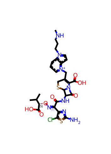 CNCCCn1ccc2c1ccc[n+]2CC1=C(C(=O)O)N2C(=O)C(NC(=O)/C(=N\O[C@H](C(=O)O)C(C)C)c3nc(N)sc3Cl)C2SC1